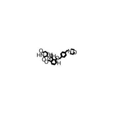 [2H]c1ccc2c(c1OCc1ccc(CN3CCOCC3)cc1)C([2H])([2H])N(C1CCC(=O)NC1=O)C2=O